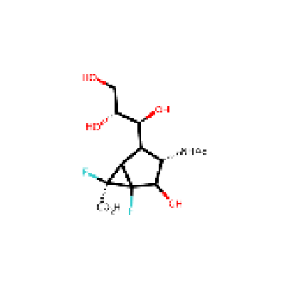 CC(=O)N[C@H]1C([C@H](O)[C@H](O)CO)C2C(F)(C1O)[C@]2(F)C(=O)O